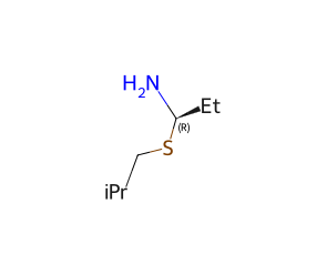 CC[C@H](N)SCC(C)C